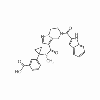 CN(C(=O)c1cnn2c1CN(C(=O)c1cc3ccccc3[nH]1)CC2)C1(c2cccc(C(=O)O)c2)CC1